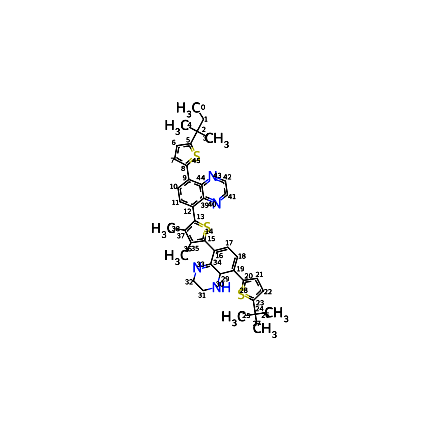 CCC(C)(C)c1ccc(-c2ccc(-c3sc(C4=CC=C(c5ccc(C(C)(C)C)s5)C5NCCN=C45)c(C)c3C)c3nccnc23)s1